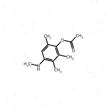 CNc1cc(C)c(OC(C)=O)c(C)c1C